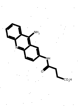 Nc1c2ccccc2nc2ccc(NC(=O)CCC(=O)O)cc12